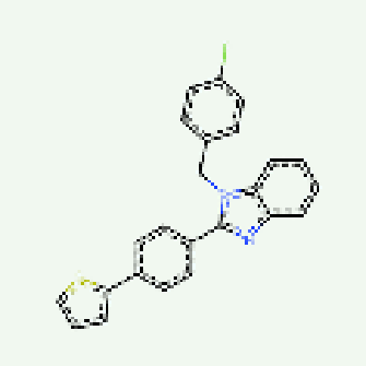 Fc1ccc(Cn2c(-c3ccc(-c4cccs4)cc3)nc3ccccc32)cc1